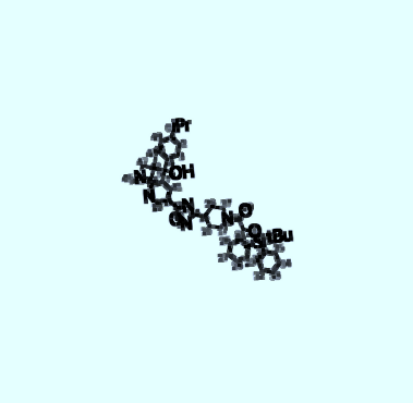 CC(C)c1ccc(C(O)(c2cncc(-c3nc(C4CCN(C(=O)CO[Si](c5ccccc5)(c5ccccc5)C(C)(C)C)CC4)no3)c2)C2(C)CN(C)C2)cc1